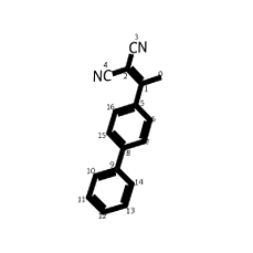 CC(=C(C#N)C#N)c1ccc(-c2ccccc2)cc1